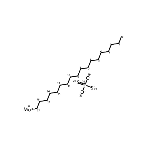 CCCCCCCCCCCCCCCCC[CH2][Mo+3].[O-]P([O-])(=S)[S-]